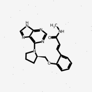 CNC(=O)/C=C/c1ccccc1OC[C@H]1CCCN1c1ncnc2[nH]cnc12